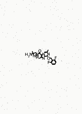 CCCC(C)(N)CNC(=O)c1c(C)nc2c(OCc3c(F)cccc3F)nc(C)cn12